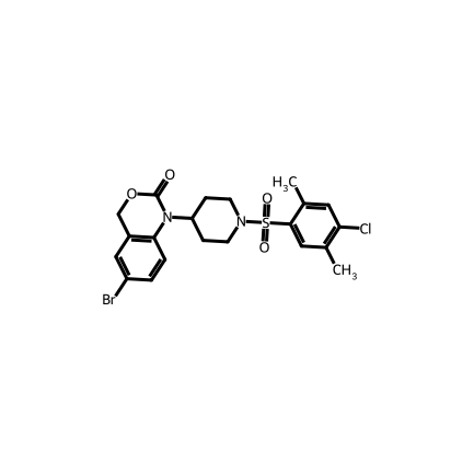 Cc1cc(S(=O)(=O)N2CCC(N3C(=O)OCc4cc(Br)ccc43)CC2)c(C)cc1Cl